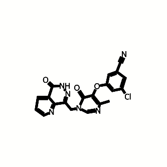 Cc1ncn(Cc2n[nH]c(=O)c3cccnc23)c(=O)c1Oc1cc(Cl)cc(C#N)c1